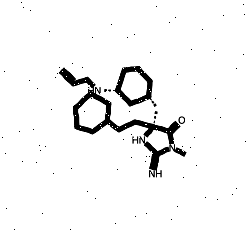 C=CCN[C@@H]1CCC[C@H](C[C@@]2(CCC3CCCCC3)NC(=N)N(C)C2=O)C1